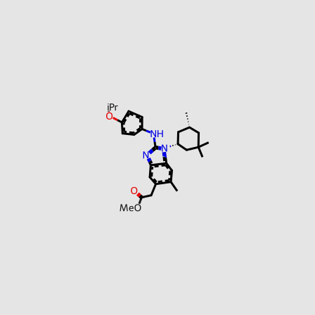 COC(=O)Cc1cc2nc(Nc3ccc(OC(C)C)cc3)n([C@@H]3C[C@H](C)CC(C)(C)C3)c2cc1C